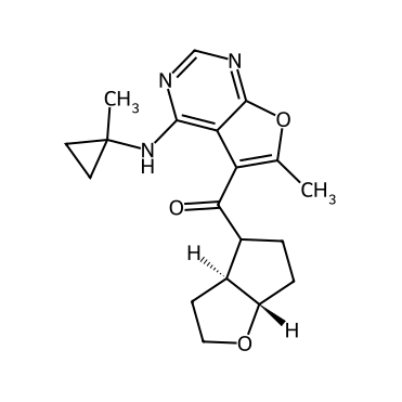 Cc1oc2ncnc(NC3(C)CC3)c2c1C(=O)C1CC[C@@H]2OCC[C@@H]12